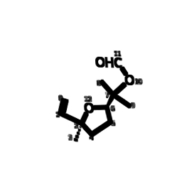 C=C[C@]1(C)CC[C@H](C(C)(C)OC=O)O1